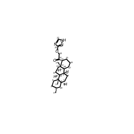 C[C@H]1CC[C@@]2(C)[C@@H](CC[C@@H]3[C@@H]2CC[C@]2(C)[C@@H](C(=O)COc4nc[nH]n4)CCC[C@@H]32)C1